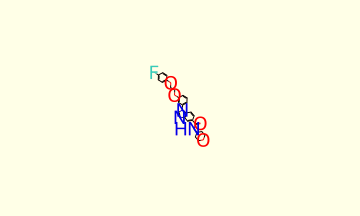 O=C(NC1CCOCC1)c1ccc2c(c1)ncn2-c1cccc(OCCOc2ccc(F)cc2)c1